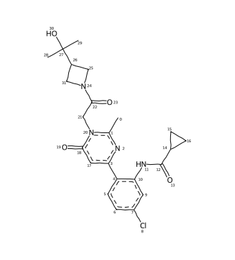 Cc1nc(-c2ccc(Cl)cc2NC(=O)C2CC2)cc(=O)n1CC(=O)N1CC(C(C)(C)O)C1